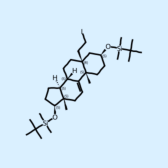 CC(C)(C)[Si](C)(C)O[C@H]1CC[C@]2(C)C3=CC[C@]4(C)[C@@H](O[Si](C)(C)C(C)(C)C)CC[C@H]4[C@@H]3CC[C@]2(CCI)C1